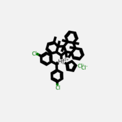 CC1=CC=CC2[CH]([Hf+2]([C]3=CC=CC3)=[C](c3ccc(Cl)cc3)c3ccc(Cl)cc3)C3(C)C4(C)C=CC=CC4(C)C4(C)C=CC=CC4(C)C3(C)C12C.[Cl-].[Cl-]